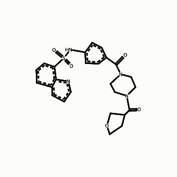 O=C(c1ccc(NS(=O)(=O)c2cccc3cccnc23)cc1)N1CCN(C(=O)C2CCOC2)CC1